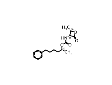 C[C@@H]1OC(=O)[C@@H]1NC(=O)O[C@@H](C)CCCCc1ccccc1